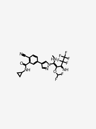 CN/C(=C(/OC(F)F)C(=N)C(F)(F)C(F)(F)F)n1cc(-c2ccc(C#N)c(C(=O)NC3CC3)c2)cn1